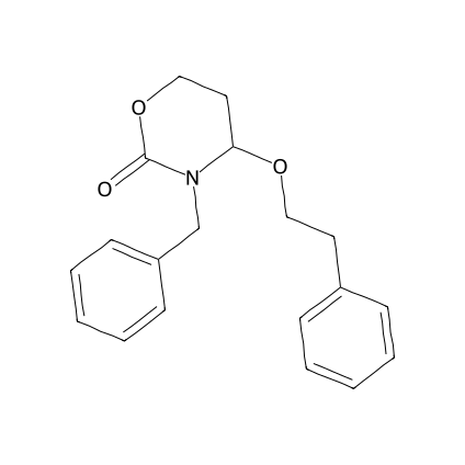 O=C1OCCC(OCCc2ccccc2)N1Cc1ccccc1